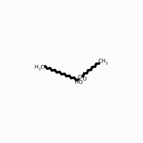 CCCCCCCCCCCCCCCC(O)OC(=O)CCCCCCCCC